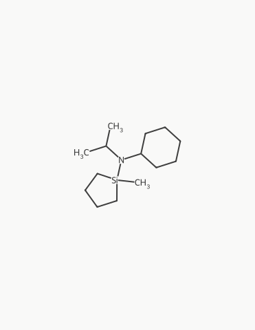 CC(C)N(C1CCCCC1)[Si]1(C)CCCC1